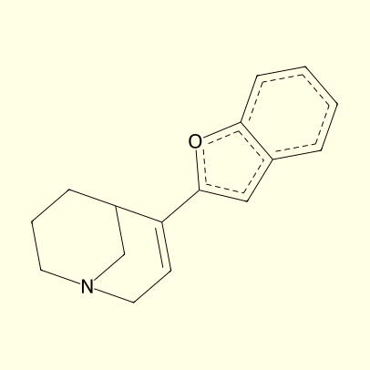 C1=C(c2cc3ccccc3o2)C2CCCN(C1)C2